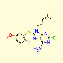 COc1ccc(I)c(Sc2nc3c(N)nc(Cl)nc3n2CCC=C(C)C)c1